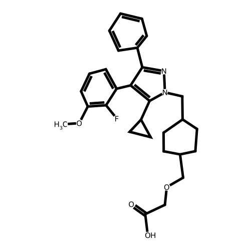 COc1cccc(-c2c(-c3ccccc3)nn(CC3CCC(COCC(=O)O)CC3)c2C2CC2)c1F